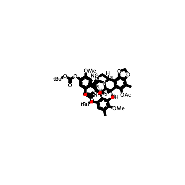 COc1cc2c(cc1OC(=O)OC(C)(C)C)CCN[C@]21CS[C@@H]2c3c(OC(C)=O)c(C)c4c(c3[C@H](COC1=O)N1C2[C@H](c2c(C)cc(C)c(OC)c2O)N(C(=O)OC(C)(C)C)[C@@H](C)[C@@H]1C#N)OCO4